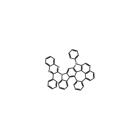 c1ccc(-c2nc3ccccc3nc2-n2c3ccccc3c3c4c5c6c7c(cccc7ccc6n(-c6ccccc6)c5cc32)-c2ccccc2-4)cc1